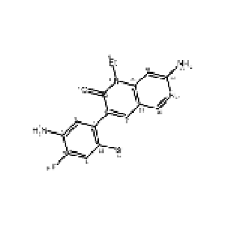 CCn1c(=O)c(-c2cc(N)c(F)cc2Br)cc2cnc(N)cc21